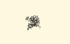 CC(C(O[Si](C)(C)C(C)(C)C)c1ncc(F)cn1)S(N)(=O)=O